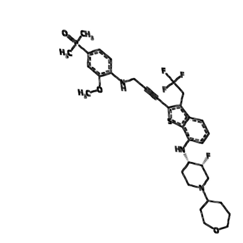 COc1cc(P(C)(C)=O)ccc1NCC#Cc1sc2c(N[C@H]3CCN(C4CCCOCC4)C[C@H]3F)cccc2c1CC(F)(F)F